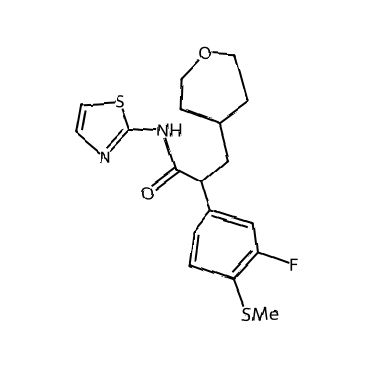 CSc1ccc(C(CC2CCOCC2)C(=O)Nc2nccs2)cc1F